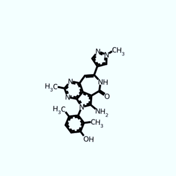 Cc1nc2c3c(c(N)n(-c4c(C)ccc(O)c4C)c3n1)C(=O)NC(c1cnn(C)c1)=C2